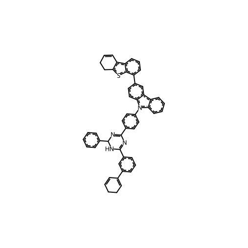 C1=CC(c2cccc(C3=NC(c4ccc(-n5c6ccccc6c6cc(-c7cccc8c9c(sc78)CCC=C9)ccc65)cc4)=NC(c4ccccc4)N3)c2)=CCC1